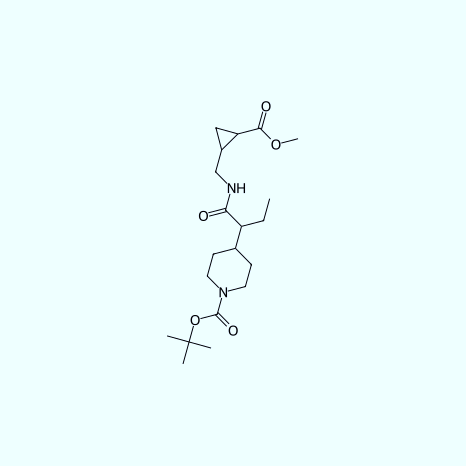 CCC(C(=O)NCC1CC1C(=O)OC)C1CCN(C(=O)OC(C)(C)C)CC1